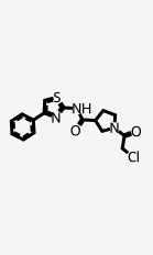 O=C(Nc1nc(-c2ccccc2)cs1)C1CCN(C(=O)CCl)C1